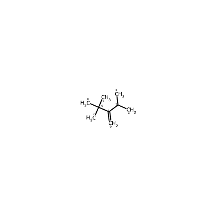 C=C([C](C)C)C(C)(C)C